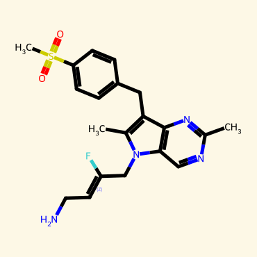 Cc1ncc2c(n1)c(Cc1ccc(S(C)(=O)=O)cc1)c(C)n2C/C(F)=C/CN